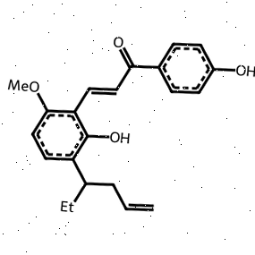 C=CCC(CC)c1ccc(OC)c(C=CC(=O)c2ccc(O)cc2)c1O